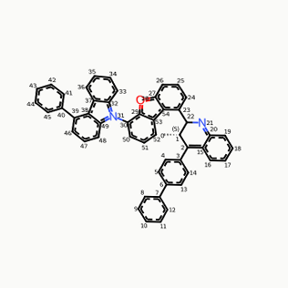 C[C@H]1C(c2ccc(-c3ccccc3)cc2)=c2ccccc2=NC1c1cccc2oc3c(-n4c5ccccc5c5c(-c6ccccc6)cccc54)cccc3c12